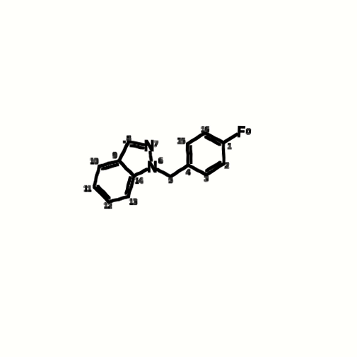 Fc1ccc(Cn2n[c]c3ccccc32)cc1